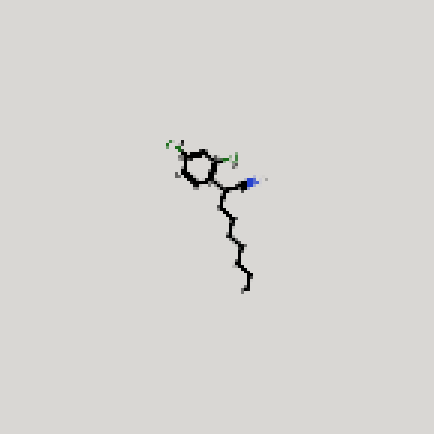 CCCCCCCC(C#N)c1ccc(Cl)cc1Cl